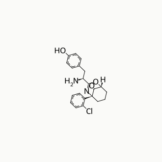 N[C@@H](Cc1ccc(O)cc1)C1=N[C@@]2(c3ccccc3Cl)CCC[C@@H](O1)C2=O